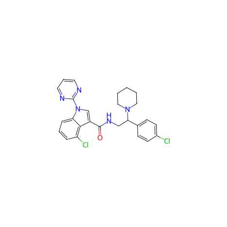 O=C(NCC(c1ccc(Cl)cc1)N1CCCCC1)c1cn(-c2ncccn2)c2cccc(Cl)c12